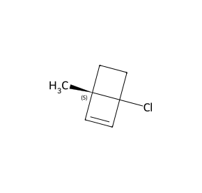 C[C@]12C=CC1(Cl)CC2